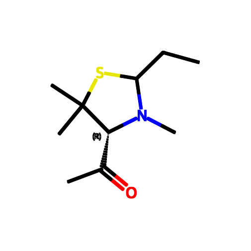 CCC1SC(C)(C)[C@@H](C(C)=O)N1C